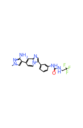 Cn1cc(-c2ccn3c(-c4cccc(NC(=O)NCC(F)(F)F)c4)cnc3c2)c(N)n1